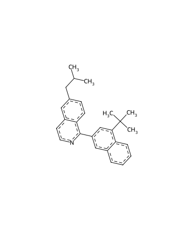 CC(C)Cc1ccc2c(-c3cc(C(C)(C)C)c4ccccc4c3)nccc2c1